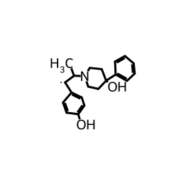 CC([CH]c1ccc(O)cc1)N1CCC(O)(c2ccccc2)CC1